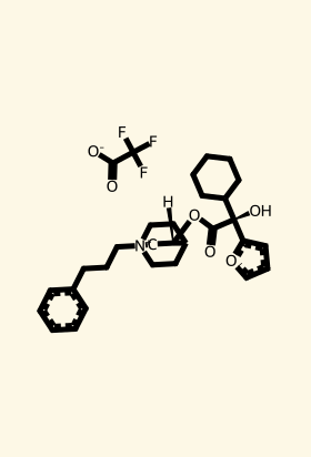 O=C(O[C@H]1C[N+]2(CCCc3ccccc3)CCC1CC2)[C@@](O)(c1ccco1)C1CCCCC1.O=C([O-])C(F)(F)F